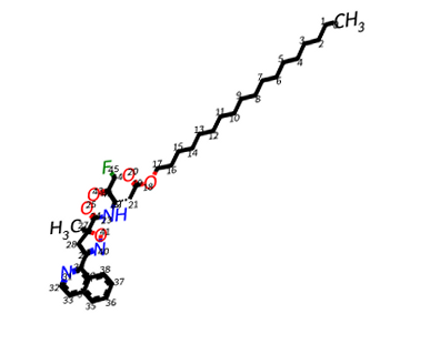 CCCCCCCCCCCCCCCCCCOC(=O)C[C@H](NC(=O)C1(C)CC(c2nccc3ccccc23)=NO1)C(=O)CF